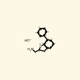 Cl.NCC1Cc2cccc(-c3ccccc3)c2O1